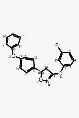 Fc1cccc(OC2=NO[C@@H](c3ccc(Oc4ccccc4)cc3)C2)c1